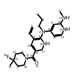 C=CC1=C(N(CCC)C2=CC(NC)NC=C2)NCC(C(=O)N2CCC(C)(F)CC2)=C1